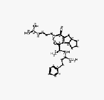 CC(NC(CCc1ccccc1)C(=O)O)C(=O)N1C(C(=O)OCCCON(O)O)CC2CCCC21